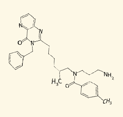 Cc1ccc(C(=O)N(CCCN)CC(C)CCCCc2nc3cccnc3c(=O)n2Cc2ccccc2)cc1